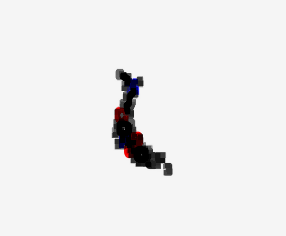 C=CCN(C)CCCCCO[C@H]1CC[C@H](N(C)C(=O)Oc2ccc(C(F)(F)F)cc2)CC1